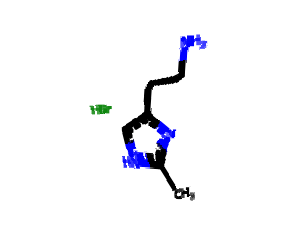 Br.Cc1nc(CCN)c[nH]1